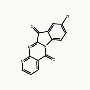 O=C1c2cc(Cl)ccc2-n2c1nc1ncccc1c2=O